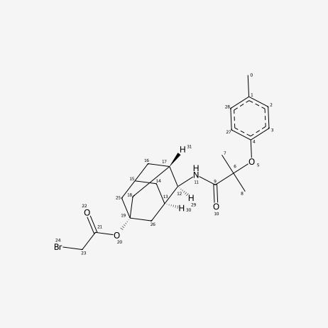 Cc1ccc(OC(C)(C)C(=O)N[C@H]2[C@@H]3CC4C[C@H]2C[C@](OC(=O)CBr)(C4)C3)cc1